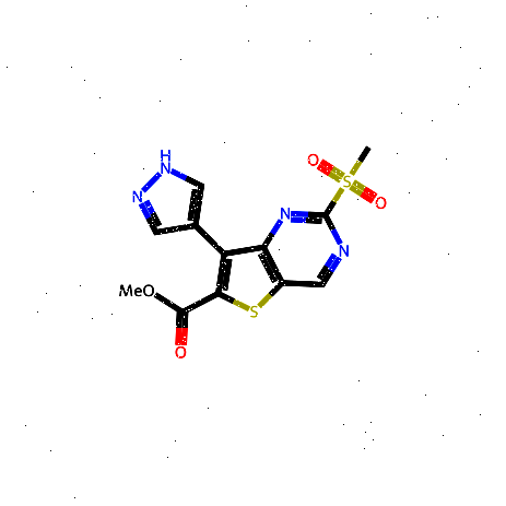 COC(=O)c1sc2cnc(S(C)(=O)=O)nc2c1-c1cn[nH]c1